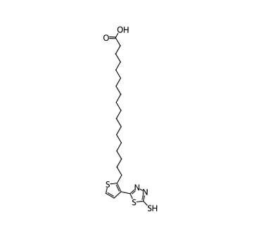 O=C(O)CCCCCCCCCCCCCCCCCc1sccc1-c1nnc(S)s1